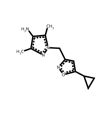 Cc1nn(Cc2cc(C3CC3)on2)c(C)c1N